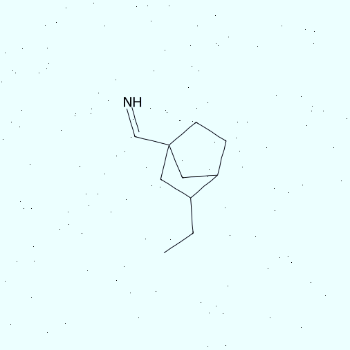 CCC1CC2(C=N)CCC1C2